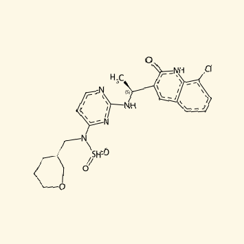 C[C@H](Nc1nccc(N(CC2CCCOC2)[SH](=O)=O)n1)c1cc2cccc(Cl)c2[nH]c1=O